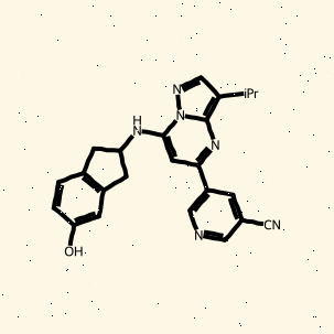 CC(C)c1cnn2c(NC3Cc4ccc(O)cc4C3)cc(-c3cncc(C#N)c3)nc12